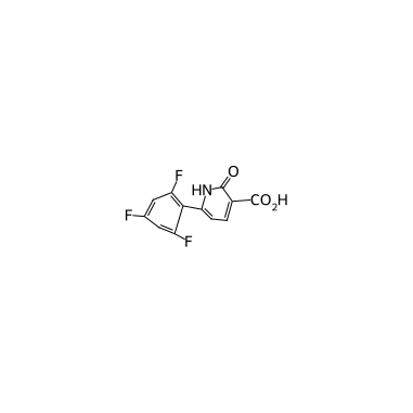 O=C(O)c1ccc(-c2c(F)cc(F)cc2F)[nH]c1=O